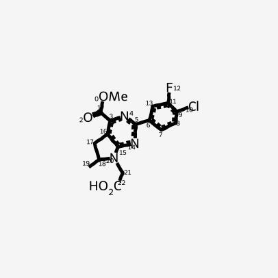 COC(=O)c1nc(-c2ccc(Cl)c(F)c2)nc2c1CC(C)N2CC(=O)O